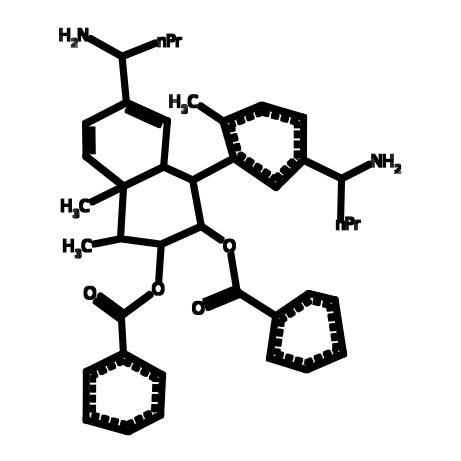 CCCC(N)C1=CC2C(c3cc(C(N)CCC)ccc3C)C(OC(=O)c3ccccc3)C(OC(=O)c3ccccc3)C(C)C2(C)C=C1